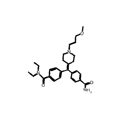 CCN(CC)C(=O)c1ccc(C(=C2CCN(CCCOC)CC2)c2ccc(C(N)=O)cc2)cc1